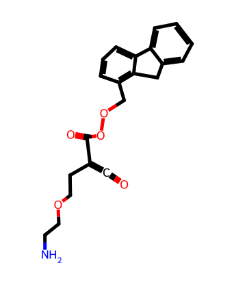 NCCOCCC(=C=O)C(=O)OOCc1cccc2c1Cc1ccccc1-2